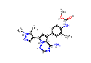 COc1cc(-c2cc(-c3cnn(C)c3C)n3ncnc(N)c23)ccc1NC(=O)OC(C)(C)C